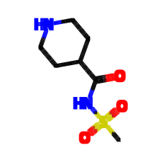 CS(=O)(=O)NC(=O)C1CCNCC1